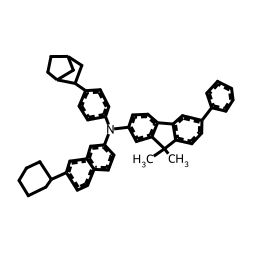 CC1(C)c2ccc(-c3ccccc3)cc2-c2ccc(N(c3ccc(C4CC5CCC4C5)cc3)c3ccc4ccc(C5CCCCC5)cc4c3)cc21